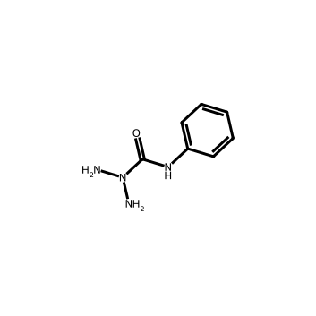 NN(N)C(=O)Nc1ccccc1